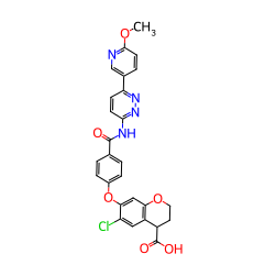 COc1ccc(-c2ccc(NC(=O)c3ccc(Oc4cc5c(cc4Cl)C(C(=O)O)CCO5)cc3)nn2)cn1